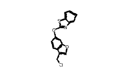 ClCc1coc2cc(Oc3nc4ccccc4s3)ccc12